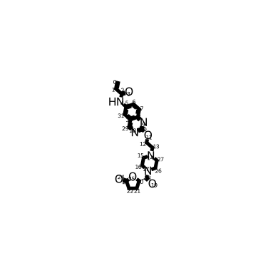 C=CC(=O)Nc1ccc2nc(OCCN3CCN(C(=O)[C@@H]4CCC(=O)O4)CC3)ncc2c1